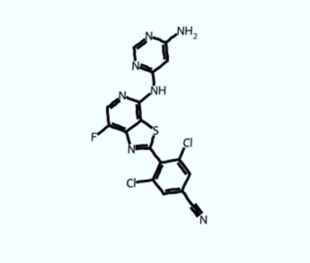 N#Cc1cc(Cl)c(-c2nc3c(F)cnc(Nc4cc(N)ncn4)c3s2)c(Cl)c1